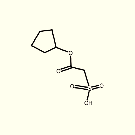 O=C(CS(=O)(=O)O)OC1CCCC1